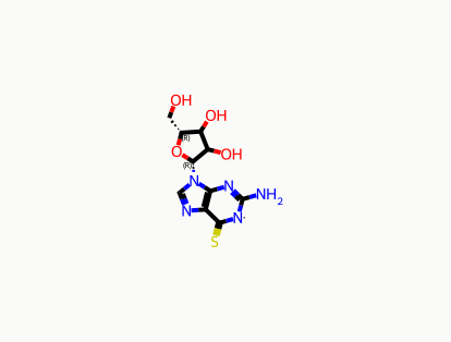 NC1=Nc2c(ncn2[C@@H]2O[C@H](CO)C(O)C2O)C(=S)[N]1